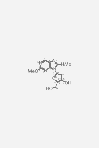 CNc1nc2cnc(OC)nc2n1[C@H]1C[C@@H](O)[C@H](CO)O1